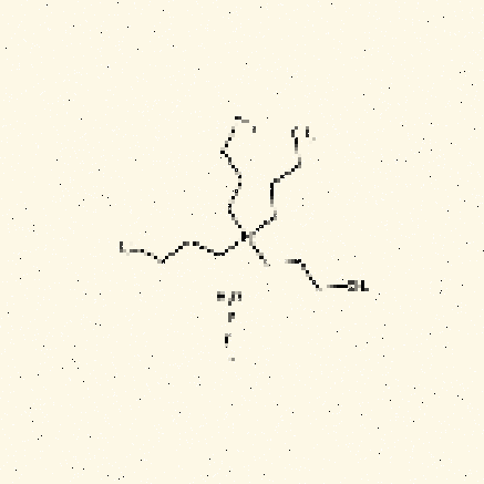 CCCC[N+](CCCC)(CCCC)CCCC.O.[F-].[F-].[H+]